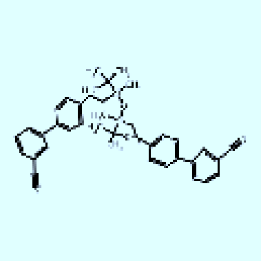 CC(C)(C)[Si](C)(CCc1ccc(-c2cccc(C#N)c2)cc1)O[Si](C)(CCc1ccc(-c2cccc(C#N)c2)cc1)C(C)(C)C